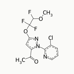 COC(F)C(F)(F)Oc1cc(C(C)=O)n(-c2ncccc2Cl)n1